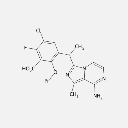 Cc1nc(C(C)c2cc(Cl)c(F)c(C(=O)O)c2OC(C)C)n2ccnc(N)c12